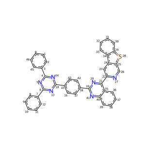 c1ccc(-c2nc(-c3ccccc3)nc(-c3ccc(-c4nc(-c5cc6c(cn5)sc5ccccc56)c5ccccc5n4)cc3)n2)cc1